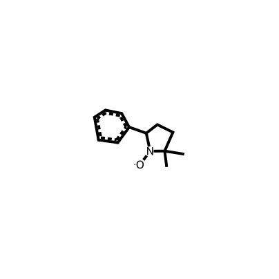 CC1(C)CCC(c2ccccc2)N1[O]